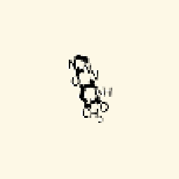 CN1C=C2Oc3nccn3N=C2NC1=O